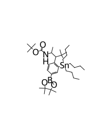 CCC[CH2][Sn]([CH2]CCC)([CH2]CCC)[c]1cc(B2OC(C)(C)C(C)(C)O2)ccc1C(C(C)NC(=O)OC(C)(C)C)C(C)(C)C